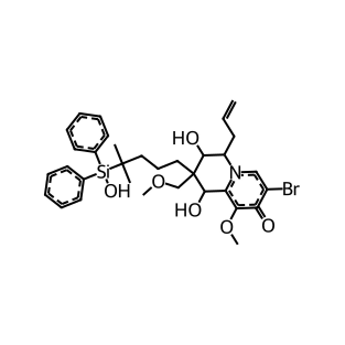 C=CCC1C(O)C(CCCC(C)(C)[Si](O)(c2ccccc2)c2ccccc2)(COC)C(O)c2c(OC)c(=O)c(Br)cn21